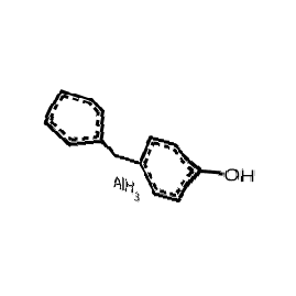 Oc1ccc(Cc2ccccc2)cc1.[AlH3]